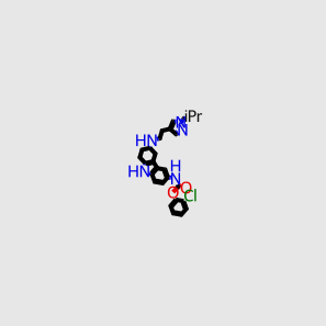 CC(C)n1cc(CCNC2CCc3[nH]c4ccc(NC(=O)Oc5ccccc5Cl)cc4c3C2)cn1